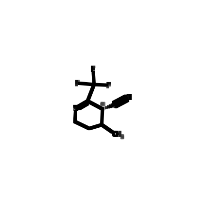 CC1CCN=C(C(F)(F)F)[C@@H]1C#N